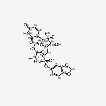 CC(C)OC(=O)[C@H](C)NP(=O)(OC[C@H]1O[C@@H](n2ccc(=O)[nH]c2=O)[C@@](F)(Cl)[C@@H]1O)Oc1ccc2c(c1)OCO2